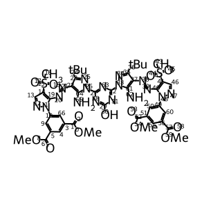 COC(=O)c1cc(C(=O)OC)cc(-n2ncc(S(C)(=O)=O)c2N=Nc2c(C(C)(C)C)nn(-c3nc(O)nc(-n4nc(C(C)(C)C)c(N=Nc5c(S(C)(=O)=O)cnn5-c5cc(C(=O)OC)cc(C(=O)OC)c5)c4N)n3)c2N)c1